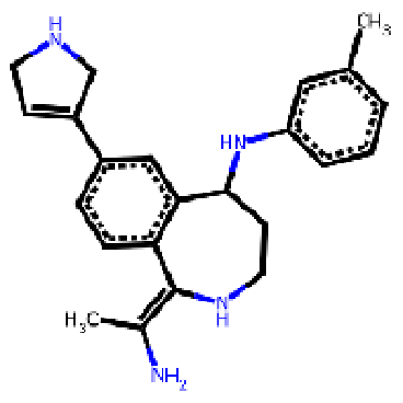 C/C(N)=C1/NCCC(Nc2cccc(C)c2)c2cc(C3=CCNC3)ccc21